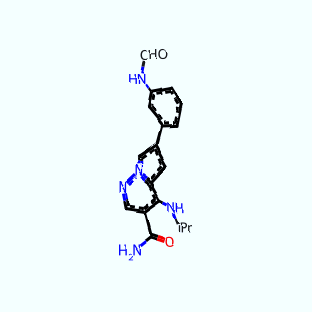 CC(C)Nc1c(C(N)=O)cnn2cc(-c3cccc(NC=O)c3)cc12